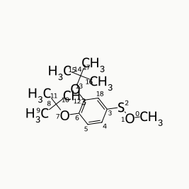 COSc1ccc(OC(C)(C)C)c(OC(C)(C)C)c1